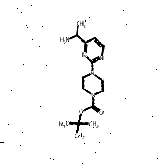 CC(N)c1ccnc(N2CCN(C(=O)OC(C)(C)C)CC2)n1